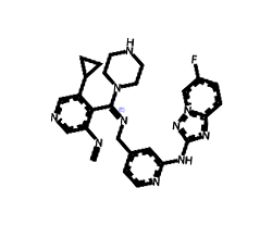 C=Nc1cncc(C2CC2)c1/C(=N\Cc1ccnc(Nc2nc3ccc(F)cn3n2)c1)N1CCNCC1